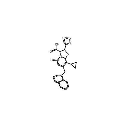 O=C(O)C1C(c2c[nH]cn2)Sc2c(C3CC3)c(Cc3cccc4ccccc34)cc(=O)n21